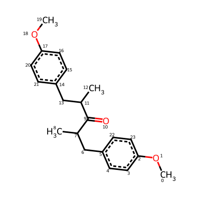 COc1ccc(CC(C)C(=O)C(C)Cc2ccc(OC)cc2)cc1